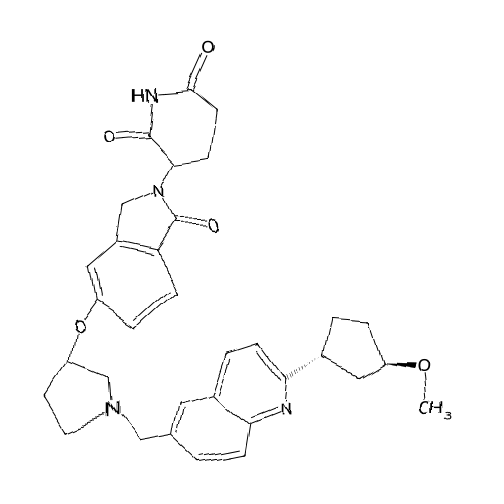 CO[C@@H]1CC[C@@H](c2ccc3cc(CN4CCC(Oc5ccc6c(c5)CN(C5CCC(=O)NC5=O)C6=O)C4)ccc3n2)C1